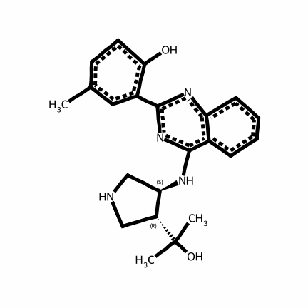 Cc1ccc(O)c(-c2nc(N[C@@H]3CNC[C@H]3C(C)(C)O)c3ccccc3n2)c1